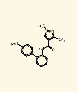 CSc1ccc(-c2ccccc2NC(=O)c2cn(C)nc2C)cc1